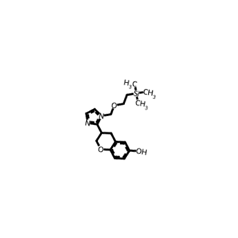 C[Si](C)(C)CCOCn1ccnc1C1COc2ccc(O)cc2C1